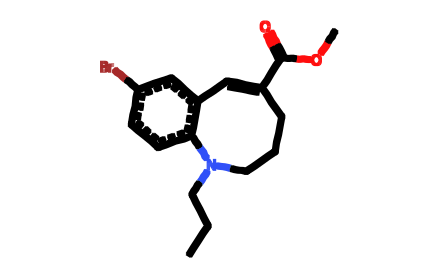 CCCN1CCCC(C(=O)OC)=Cc2cc(Br)ccc21